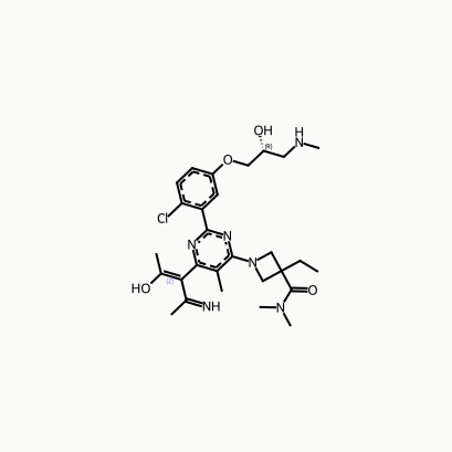 CCC1(C(=O)N(C)C)CN(c2nc(-c3cc(OC[C@H](O)CNC)ccc3Cl)nc(/C(C(C)=N)=C(\C)O)c2C)C1